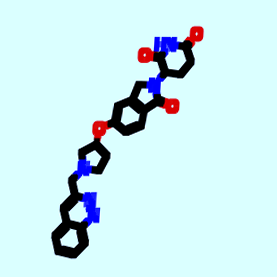 O=C1CCC(N2Cc3cc(O[C@H]4CCN(Cc5cc6ccccc6nn5)C4)ccc3C2=O)C(=O)N1